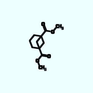 COC(=O)C12CCCC(C(=O)OC)(C1)C2